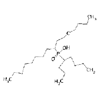 CCCCCCCCC(CCCCCCC)P(=O)(O)C(CCC)CCCC